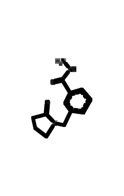 NNC(=O)c1cccc(CN2CCCC2=O)c1